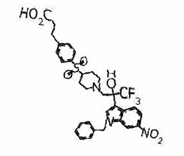 O=C(O)CCc1ccc(S(=O)(=O)C2CCN(CC(O)(c3cn(Cc4ccccc4)c4cc([N+](=O)[O-])ccc34)C(F)(F)F)CC2)cc1